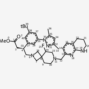 COC(=O)C[C@H](CN1CC2(CCN(Cc3ccc4c(n3)NCCC4)CC2F)C1)c1cc(-n2nc(C)cc2C)cc(C(C)(C)C)c1